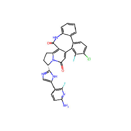 Nc1ccc(-c2cnc([C@@H]3CCc4c5c(cc(=O)n43)-c3c(ccc(Cl)c3F)-c3ccccc3NC5=O)[nH]2)c(F)n1